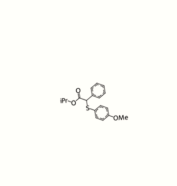 COc1ccc(SC(C(=O)OC(C)C)c2ccccc2)cc1